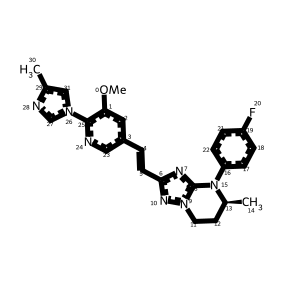 COc1cc(C=Cc2nc3n(n2)CC[C@H](C)N3c2ccc(F)cc2)cnc1-n1cnc(C)c1